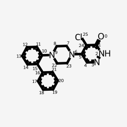 O=c1[nH]ncc(N2CCN(c3ccccc3-c3ccccc3)CC2)c1Cl